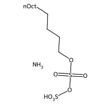 CCCCCCCCCCCCOS(=O)(=O)OS(=O)(=O)O.N